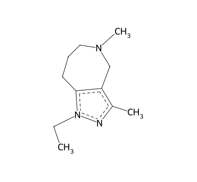 CCn1nc(C)c2c1CCCN(C)C2